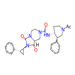 CC(=O)N1CC[C@@H](NC(=O)N2CCN3C(=O)N([C@H]4C[C@@H]4c4ccccc4)C(=O)[C@@H]3C2)[C@H](c2ccccc2)C1